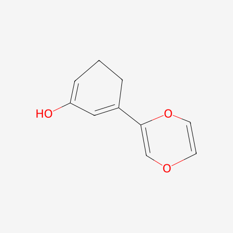 OC1=CCCC(C2=COC=CO2)=C1